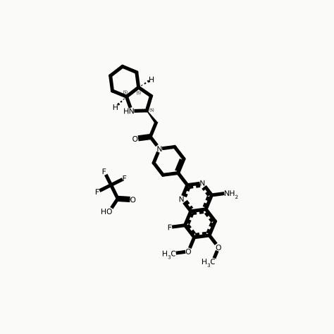 COc1cc2c(N)nc(C3=CCN(C(=O)C[C@@H]4C[C@@H]5CCCC[C@@H]5N4)CC3)nc2c(F)c1OC.O=C(O)C(F)(F)F